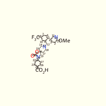 COc1ccc(-c2ccc(C(F)(F)F)cc2CN2CCC3(CC2)CN(c2ccc(C(=O)O)cc2)C(=O)O3)cn1